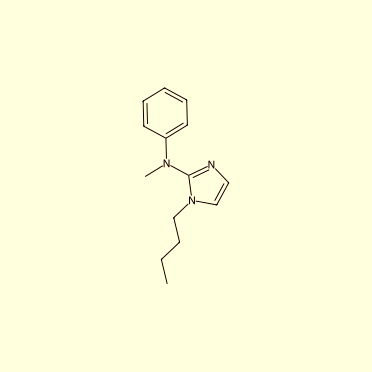 CCCCn1ccnc1N(C)c1ccccc1